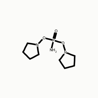 NP(=O)(ON1CCCC1)ON1CCCC1